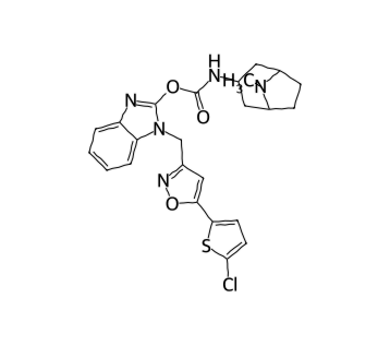 CN1C2CCC1CC(NC(=O)Oc1nc3ccccc3n1Cc1cc(-c3ccc(Cl)s3)on1)C2